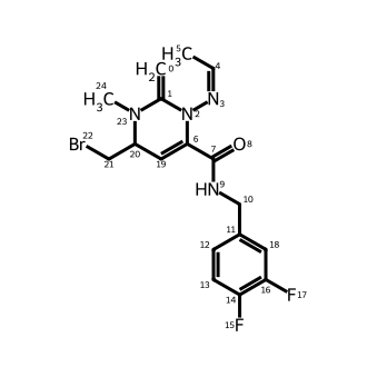 C=C1N(/N=C\C)C(C(=O)NCc2ccc(F)c(F)c2)=CC(CBr)N1C